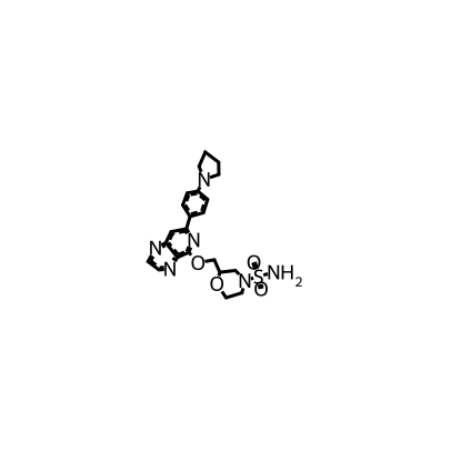 NS(=O)(=O)N1CCOC(COc2nc(-c3ccc(N4CCCC4)cc3)cc3nccnc23)C1